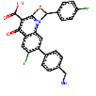 NCc1ccc(-c2cc3c(cc2F)c(=O)c(C(=O)O)c2n3C(c3ccc(F)cc3)S2)cc1